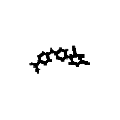 C[S+]([O-])c1ccc(Oc2ccc(-n3ncc(=O)[nH]c3=O)cc2)cc1